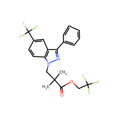 CC(C)(Cn1nc(-c2ccccc2)c2cc(C(F)(F)F)ccc21)C(=O)OCC(F)(F)F